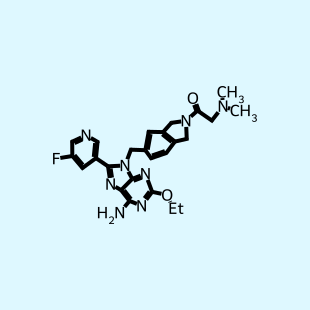 CCOc1nc(N)c2nc(-c3cncc(F)c3)n(Cc3ccc4c(c3)CN(C(=O)CN(C)C)C4)c2n1